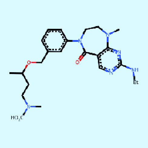 CCNc1ncc2c(n1)N(C)CCN(c1cccc(COC(C)CCN(C)C(=O)O)c1)C2=O